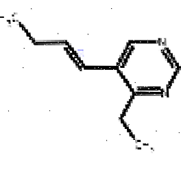 CC/C=C/c1cncnc1CC